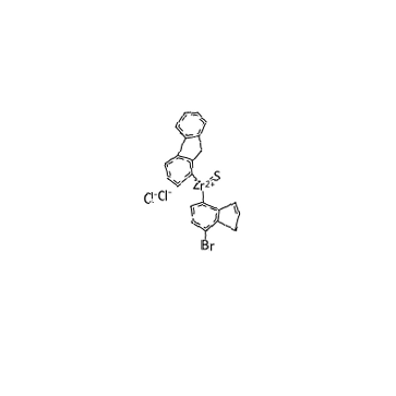 [Cl-].[Cl-].[S]=[Zr+2]([c]1ccc(Br)c2c1C=CC2)[c]1cccc2c1Cc1ccccc1-2